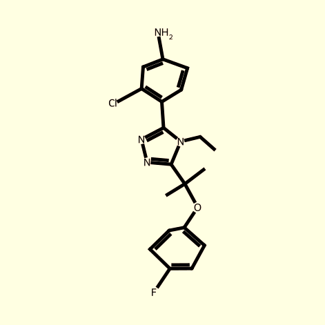 CCn1c(-c2ccc(N)cc2Cl)nnc1C(C)(C)Oc1ccc(F)cc1